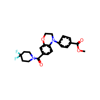 COC(=O)c1ccc(N2CCOc3cc(C(=O)N4CCC(F)(F)CC4)ccc32)cc1